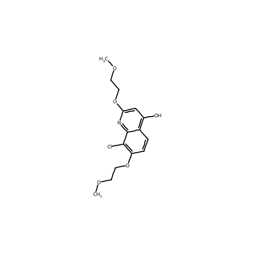 COCCOc1cc(O)c2ccc(OCCOC)c(Cl)c2n1